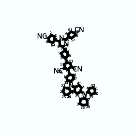 N#Cc1ccc(-c2cc(-c3ccc(-c4cc(C#N)c(-c5ccc(-n6c7ccccc7c7cc(N(c8ccccc8)c8ccccc8)ccc76)cc5)c(C#N)c4)cc3)nc(-c3ccc(C#N)cc3)n2)cc1